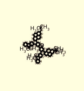 CC(C)Cc1cc2ccc3ccc(-c4cc5oc6cc(-c7ccc8ccc9cc(C(C)(C)C)cc%10ccc7c8c9%10)c(-c7ccc8c(c7)C(C)(C)c7ccccc7-8)cc6c5cc4-c4ccc5c(c4)C(C)(C)c4ccccc4-5)c4ccc(c1)c2c34